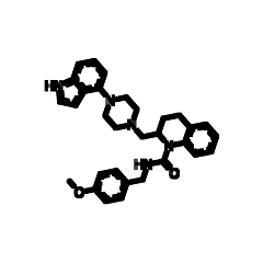 COc1ccc(CNC(=O)N2c3ccccc3CCC2CN2CCN(c3cccc4[nH]ccc34)CC2)cc1